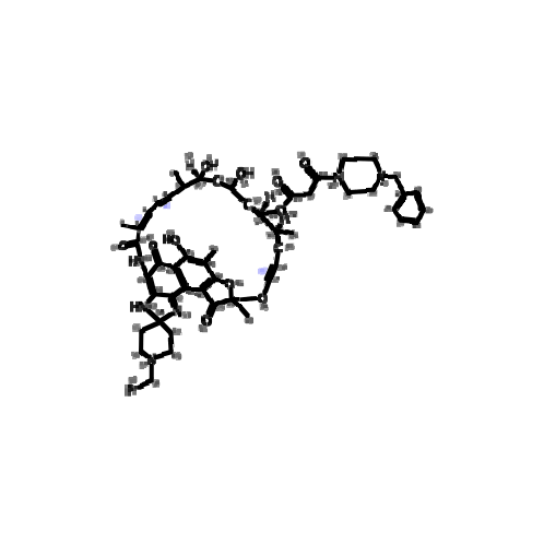 C/C1=C/C=C/C(C)[C@H](O)CC(O)C[C@H](OC(=O)CC(=O)N2CCN(Cc3ccccc3)CC2)[C@H](C)C/C=C/OC2(C)Oc3c(C)c(O)c4c(c3C2=O)C2=NC3(CCN(CC(C)C)CC3)NC2=C(NC1=O)C4=O